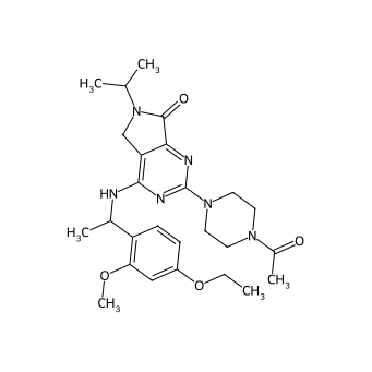 CCOc1ccc(C(C)Nc2nc(N3CCN(C(C)=O)CC3)nc3c2CN(C(C)C)C3=O)c(OC)c1